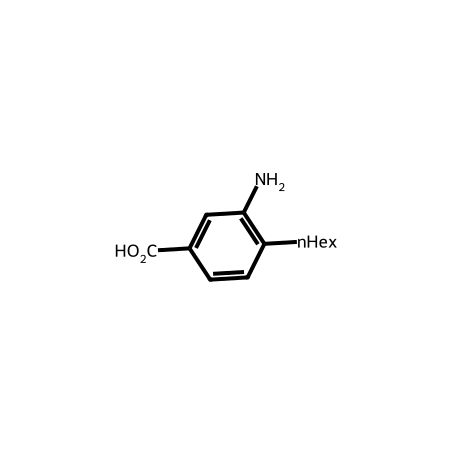 CCCCCCc1ccc(C(=O)O)cc1N